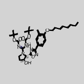 CCCCCCCCOc1ccc(-c2noc([C@@H]3[C@@H](O)CCN3/C(=N/C(=O)OC(C)(C)C)NC(=O)OC(C)(C)C)n2)cc1C